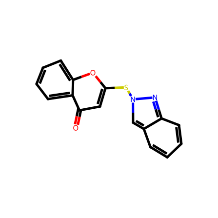 O=c1cc(Sn2cc3ccccc3n2)oc2ccccc12